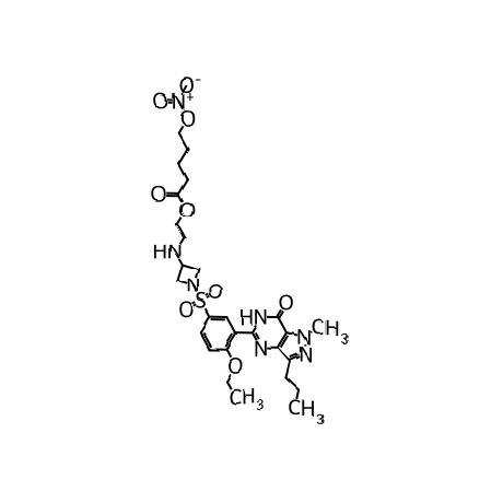 CCCc1nn(C)c2c(=O)[nH]c(-c3cc(S(=O)(=O)N4CC(NCCOC(=O)CCCCO[N+](=O)[O-])C4)ccc3OCC)nc12